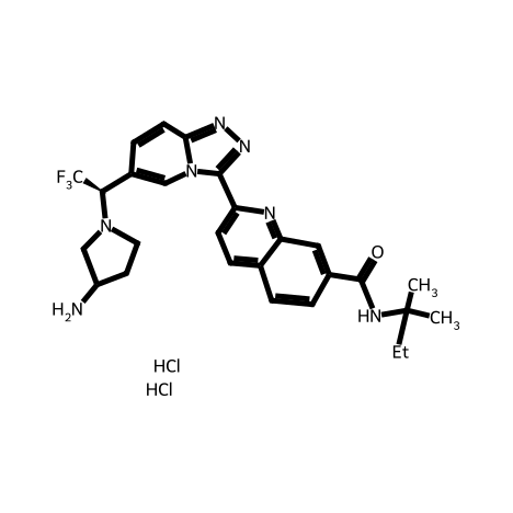 CCC(C)(C)NC(=O)c1ccc2ccc(-c3nnc4ccc([C@@H](N5CCC(N)C5)C(F)(F)F)cn34)nc2c1.Cl.Cl